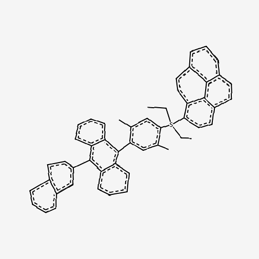 CCS(CC)(c1cc(C)c(-c2c3ccccc3c(-c3ccc4ccccc4c3)c3ccccc23)cc1C)c1ccc2ccc3cccc4ccc1c2c34